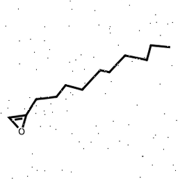 CCCCCCCCCCC1=CO1